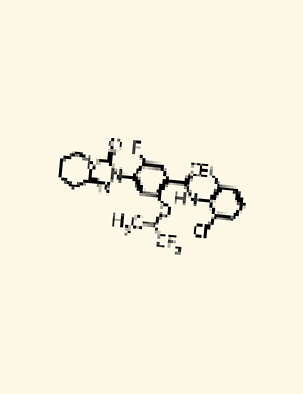 CCc1cccc(Cl)c1NC(=O)c1cc(F)c(-n2nc3n(c2=O)CCCC3)cc1O[C@@H](C)C(F)(F)F